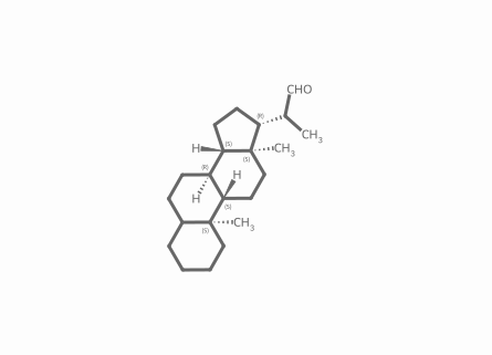 CC(C=O)[C@H]1CC[C@H]2[C@@H]3CCC4CCCC[C@]4(C)[C@H]3CC[C@]12C